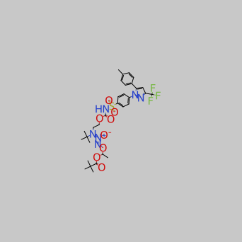 Cc1ccc(-c2cc(C(F)(F)F)nn2-c2ccc(S(=O)(=O)NC(=O)OCCN([N+]([O-])=NOC(C)OC(=O)C(C)(C)C)C(C)(C)C)cc2)cc1